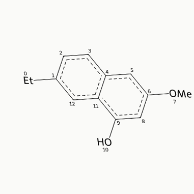 CCc1ccc2cc(OC)cc(O)c2c1